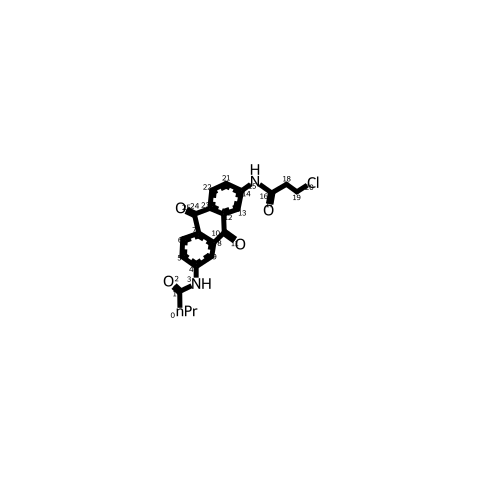 CCCC(=O)Nc1ccc2c(c1)C(=O)c1cc(NC(=O)CCCl)ccc1C2=O